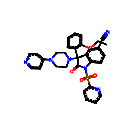 CCOc1ccccc1C1(N2CCN(c3ccncc3)CC2)C(=O)N(S(=O)(=O)c2ccccn2)c2ccc(C#N)cc21